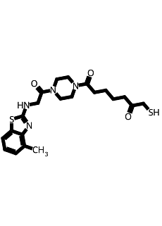 Cc1cccc2sc(NCC(=O)N3CCN(C(=O)CCCCC(=O)CS)CC3)nc12